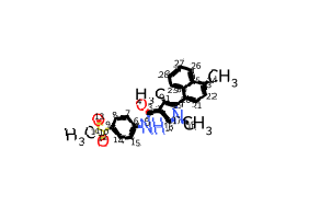 Cc1c(C(=O)Nc2ccc(S(C)(=O)=O)cc2)cn(C)c1-c1ccc(C)c2ccccc12